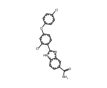 NC(=O)c1ccc2[nH]c(-c3ccc(Oc4ccc(Cl)cc4)cc3Cl)nc2c1